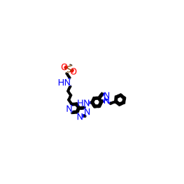 CS(=O)(=O)CCNCCCCc1cc2c(Nc3ccc4c(cnn4Cc4ccccc4)c3)ncnc2cn1